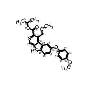 COCc1c(C(=O)OC(C)C)ncc2[nH]c3ccc(Oc4ccc(OC)cc4)cc3c12